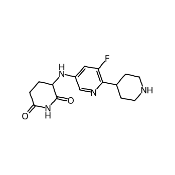 O=C1CCC(Nc2cnc(C3CCNCC3)c(F)c2)C(=O)N1